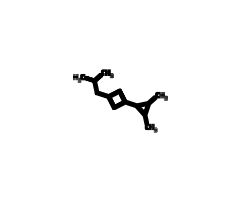 CC(C)CC1CC(C2C(C)C2C)C1